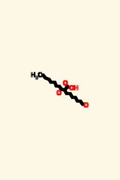 CCCCCCCCC(=O)C(CCCCCCC=O)C(=O)O